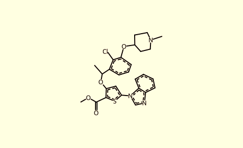 COC(=O)c1sc(-n2cnc3ccccc32)cc1OC(C)c1cccc(OC2CCN(C)CC2)c1Cl